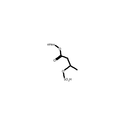 CCCCCCOC(=O)CC(C)OS(=O)(=O)O